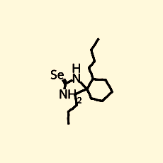 CCCCC1CCCCC1(CCCC)NC(N)=[Se]